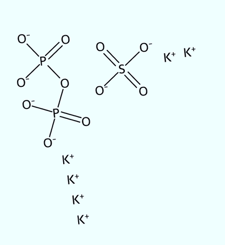 O=P([O-])([O-])OP(=O)([O-])[O-].O=S(=O)([O-])[O-].[K+].[K+].[K+].[K+].[K+].[K+]